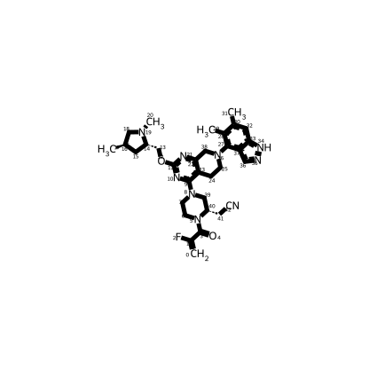 C=C(F)C(=O)N1CCN(c2nc(OC[C@@H]3C[C@@H](C)CN3C)nc3c2CCN(c2c(C)c(C)cc4[nH]ncc24)C3)C[C@@H]1CC#N